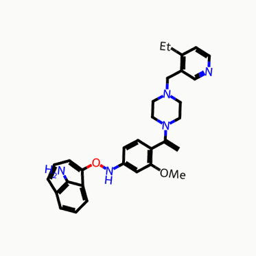 C=C(c1ccc(NOC2=CC=Cc3cccc2c3N)cc1OC)N1CCN(Cc2cnccc2CC)CC1